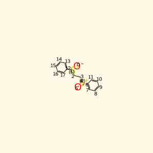 [O-][S@+](CC[S@+]([O-])c1ccccc1)c1ccccc1